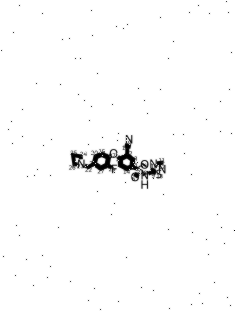 N#Cc1cc(S(=O)(=O)Nc2ncns2)ccc1Oc1ccc(CN2CCC2)cc1F